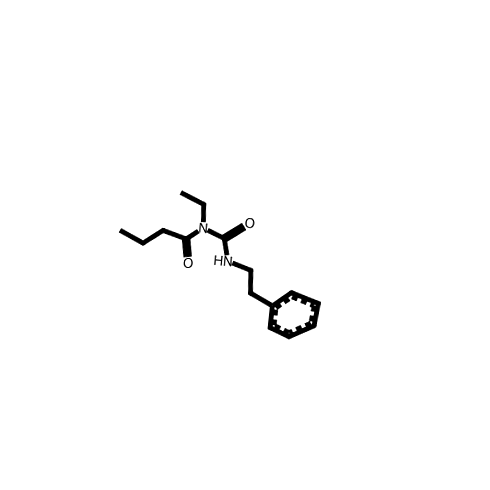 CCCC(=O)N(CC)C(=O)NCCc1ccccc1